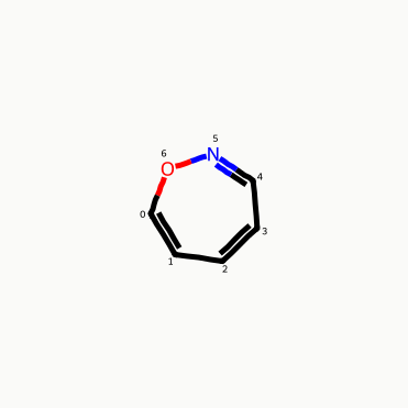 [C]1=CC=CC=NO1